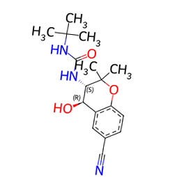 CC(C)(C)NC(=O)N[C@H]1[C@H](O)c2cc(C#N)ccc2OC1(C)C